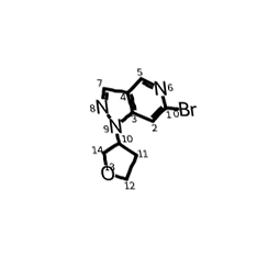 Brc1cc2c(cn1)cnn2C1CCOC1